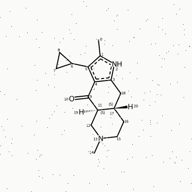 Cc1[nH]c2c(c1C1CC1)C(=O)[C@@H]1CN(C)CC[C@H]1C2